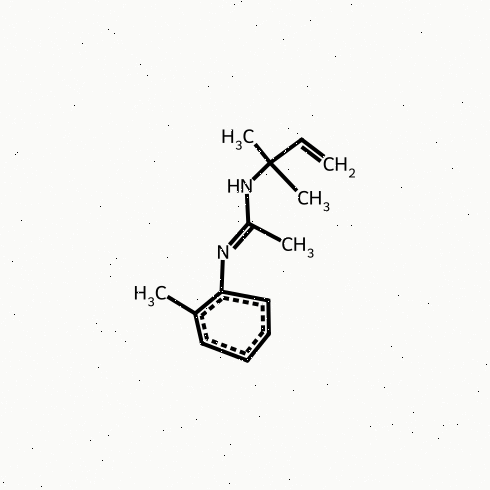 C=CC(C)(C)N/C(C)=N/c1ccccc1C